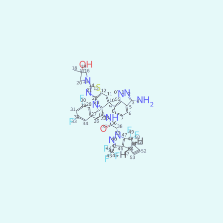 Cn1nc(N)c2cccc(-c3cc4sc(N5CC(C)(O)C5)nc4nc3[C@H](Cc3cc(F)cc(F)c3)NC(=O)Cn3nc(C(F)(F)F)c4c3C(F)(F)[C@@H]3C#C[C@H]43)c21